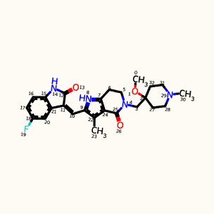 COC1(CN2CCc3[nH]c(/C=C4\C(=O)Nc5ccc(F)cc54)c(C)c3C2=O)CCN(C)CC1